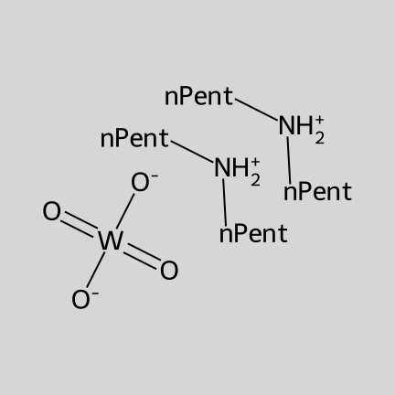 CCCCC[NH2+]CCCCC.CCCCC[NH2+]CCCCC.[O]=[W](=[O])([O-])[O-]